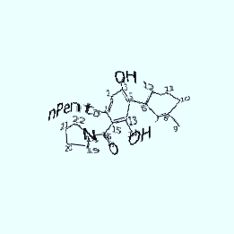 CCCCCc1cc(O)c(C2C=C(C)CCC2)c(O)c1C(=O)N1CCCC1